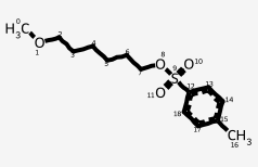 COCCCCCCOS(=O)(=O)c1ccc(C)cc1